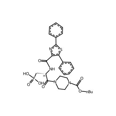 CCCCOC(=O)N1CCN(C(=O)[C@H](CP(=O)(O)O)NC(=O)c2nc(-c3ccccc3)sc2-c2ccccc2)CC1